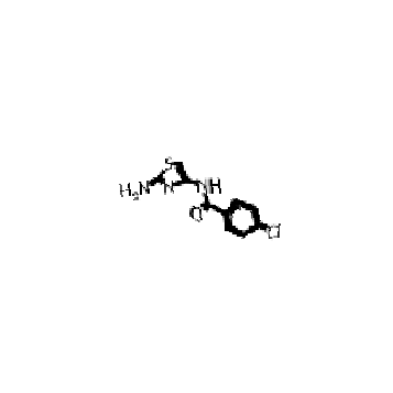 Nc1nc(NC(=O)c2ccc(Cl)cc2)cs1